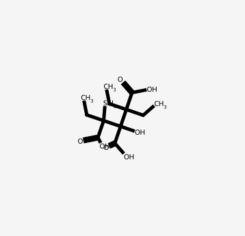 CCC([SiH3])(C(=O)O)C(O)(C(=O)O)C(CC)(CC)C(=O)O